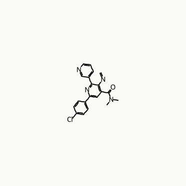 C=Nc1c(C(=O)N(C)C)cc(-c2ccc(Cl)cc2)nc1-c1cccnc1